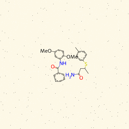 COc1ccc(OC)c(NC(=O)c2ccccc2)c1.Cc1ccc(SC(C)CC(N)=O)cc1